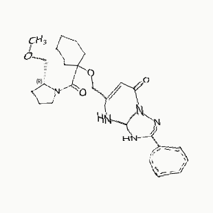 COC[C@H]1CCCN1C(=O)C1(OCC2=CC(=O)N3N=C(c4ccccc4)NC3N2)CCCCC1